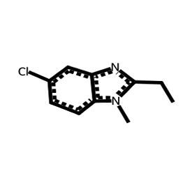 CCc1nc2cc(Cl)ccc2n1C